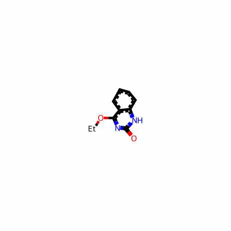 CCOc1nc(=O)[nH]c2ccccc12